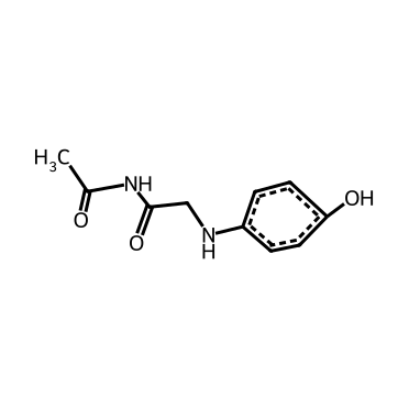 CC(=O)NC(=O)CNc1ccc(O)cc1